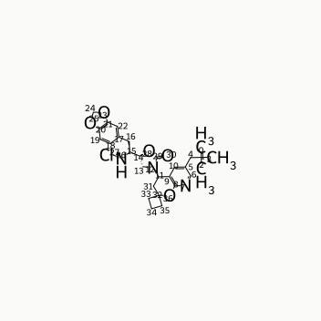 CC(C)(C)Cc1cnc2c(c1)C(N1C[C@H]([C@H](Cc3ccc4c(c3)OCO4)NCl)OC1=O)CC1(CCC1)O2